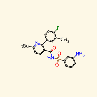 Cc1cc(-c2nc(C(C)(C)C)ccc2C(=O)NS(=O)(=O)c2cccc(N)c2)ccc1F